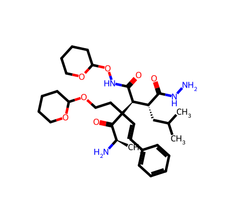 CC(C)C[C@@H](C(=O)NN)[C@H](C(=O)NOC1CCCCO1)C(/C=C/c1ccccc1)(CCOC1CCCCO1)C(=O)[C@@H](C)N